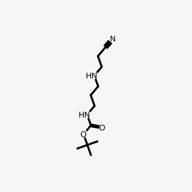 CC(C)(C)OC(=O)NCCCNCCC#N